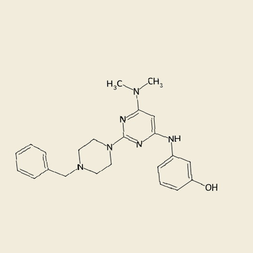 CN(C)c1cc(Nc2cccc(O)c2)nc(N2CCN(Cc3ccccc3)CC2)n1